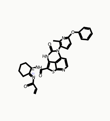 C=CC(=O)/N=C1\CCCC[C@H]1NC(=O)c1sc2nccc3c2c1NC(=O)N3c1ccc(Oc2ccccc2)nc1C